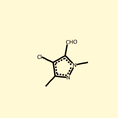 Cc1nn(C)c(C=O)c1Cl